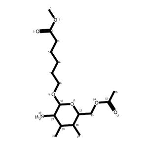 COC(=O)CCCCCOC1OC(COC(C)=O)C(C)C(C)C1N